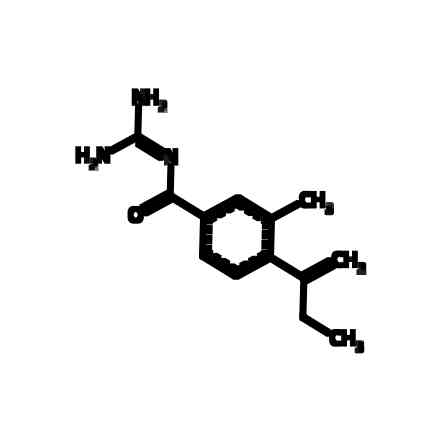 C=C(CC)c1ccc(C(=O)N=C(N)N)cc1C